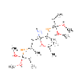 CCC(OC)(OC)PC(C)CC(N)(OC(C)C)C(C)PC(CC)(OC)OC